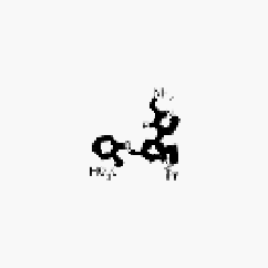 CC(C)n1ccc2c(-c3ccnc(CN)c3F)cc(COc3ccccc3CC(=O)O)cc21